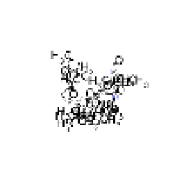 CCC(=O)O[C@H]1/C(=C/C(=O)OC)C[C@@H](C[C@H](CO[Si](C)(C)C(C)(C)C)OC(=O)C[C@@H](C[C@@H]2CCC[C@H](C[C@@H]3CCOC4(C[C@H](C)CC[C@H]4C(C)C)O3)O2)O[Si](C)(C)C(C)(C)C)O[C@@]1(O)C(C)(C)/C=C/C=O